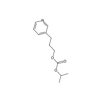 CC(C)OC(=O)OCCCc1cccnc1